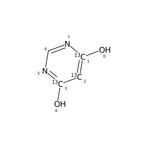 O[13c]1[13cH][13c](O)ncn1